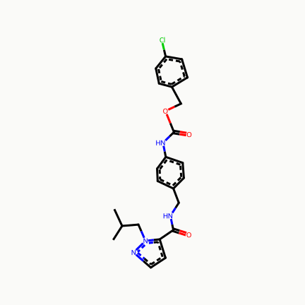 CC(C)Cn1nccc1C(=O)NCc1ccc(NC(=O)OCc2ccc(Cl)cc2)cc1